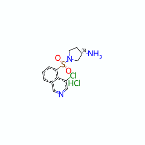 Cl.N[C@H]1CCN(S(=O)(=O)c2cccc3cncc(Cl)c23)C1